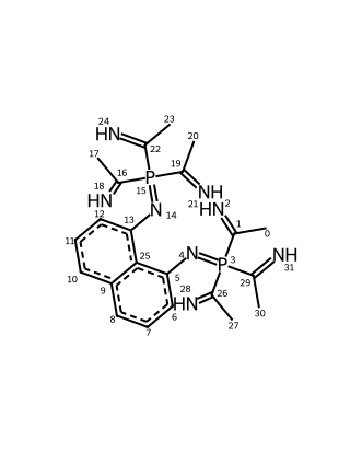 CC(=N)P(=Nc1cccc2cccc(N=P(C(C)=N)(C(C)=N)C(C)=N)c12)(C(C)=N)C(C)=N